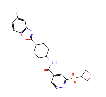 O=C(NC1CCC(c2nc3cc(Cl)ccc3o2)CC1)c1ccnc(S(=O)(=O)C2COC2)c1